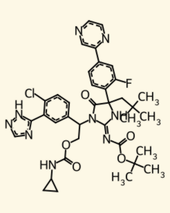 CC(C)(C)CC1(c2ccc(-c3cnccn3)cc2F)NC(=NC(=O)OC(C)(C)C)N(C(COC(=O)NC2CC2)c2ccc(Cl)c(-c3ncn[nH]3)c2)C1=O